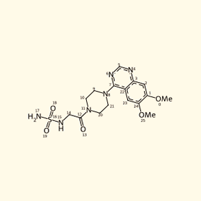 COc1cc2ncnc(N3CCN(C(=O)CNS(N)(=O)=O)CC3)c2cc1OC